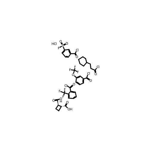 Cl.O=C(Cl)CCC1CCCCC1.O=C(Cl)c1cccc(OC(F)(F)F)c1.O=C(Cl)c1cccc(S(=O)(=O)F)c1.O=C(Cl)c1ccccc1C(F)(F)F.O=C(O)[C@@H]1CC[C@H]1C(=O)O